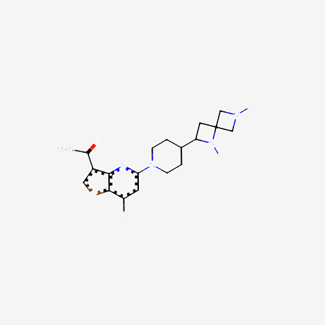 CCN1C(C2CCN(c3cc(C(F)(F)F)c4scc(C(=O)NC)c4n3)CC2)CC12CN(C(=O)O)C2